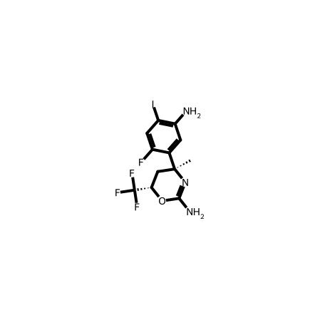 C[C@@]1(c2cc(N)c(I)cc2F)C[C@@H](C(F)(F)F)OC(N)=N1